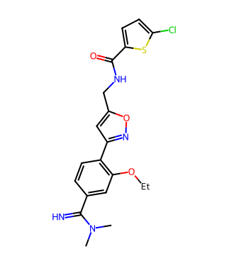 CCOc1cc(C(=N)N(C)C)ccc1-c1cc(CNC(=O)c2ccc(Cl)s2)on1